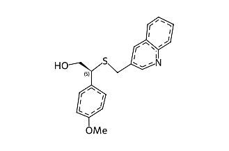 COc1ccc([C@@H](CO)SCc2cnc3ccccc3c2)cc1